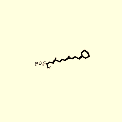 CCOC(=O)C(C/C=C(\C)CC/C=C(\C)CCC=C1CCCCC1)C(C)=O